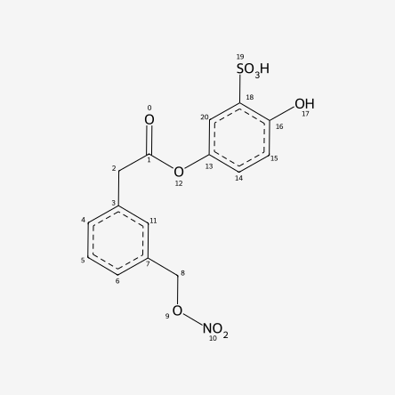 O=C(Cc1cccc(CO[N+](=O)[O-])c1)Oc1ccc(O)c(S(=O)(=O)O)c1